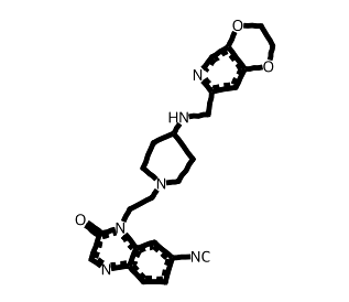 [C-]#[N+]c1ccc2ncc(=O)n(CCN3CCC(NCc4cc5c(cn4)OCCO5)CC3)c2c1